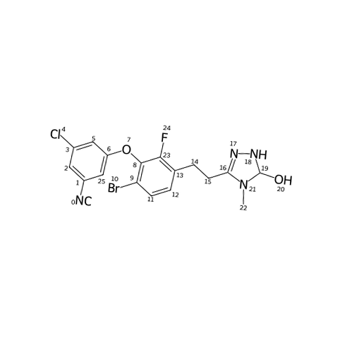 [C-]#[N+]c1cc(Cl)cc(Oc2c(Br)ccc(CCC3=NNC(O)N3C)c2F)c1